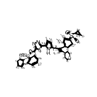 CC(C)(C)[Si](OCc1nnc(-c2ccc(C(CC3CCOCC3)c3ccc(S(=O)(=O)C4CC4)cc3)[nH]2)s1)(c1ccccc1)c1ccccc1